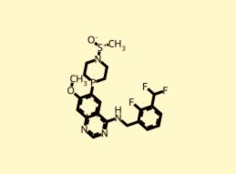 COc1cc2ncnc(NCc3cccc(C(F)F)c3F)c2cc1P1CCN([S+](C)[O-])CC1